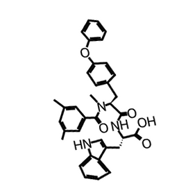 Cc1cc(C)cc(C(=O)N(C)[C@@H](Cc2ccc(Oc3ccccc3)cc2)C(=O)N[C@@H](Cc2c[nH]c3ccccc23)C(=O)O)c1